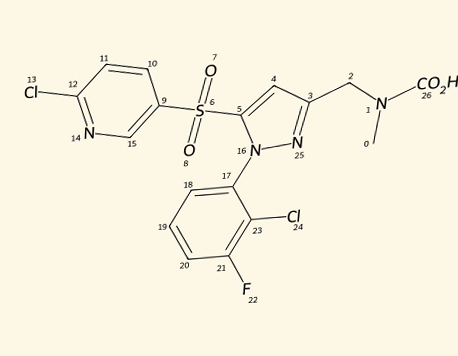 CN(Cc1cc(S(=O)(=O)c2ccc(Cl)nc2)n(-c2cccc(F)c2Cl)n1)C(=O)O